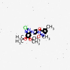 Cc1ccc2c(c1)c(=O)n(C1CCN(c3nc(Cl)nc4cc(OC(C)C)c(OC(C)C)cc34)CC1)c(=O)n2C